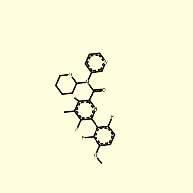 COc1ccc(F)c(-c2nc(C(=O)N(c3cccnc3)C3CCCCO3)c(C)c(C)c2F)c1F